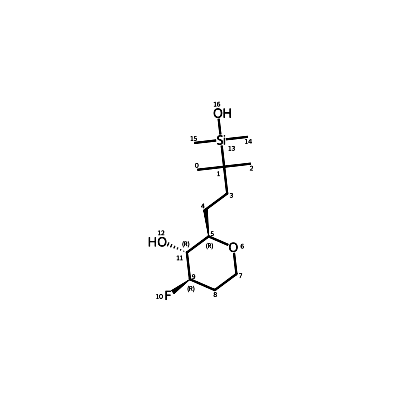 CC(C)(CC[C@H]1OCC[C@@H](F)[C@@H]1O)[Si](C)(C)O